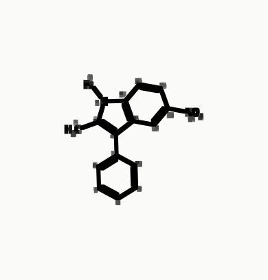 CCn1c(C)c(-c2ccccc2)c2cc([N+](=O)[O-])ccc21